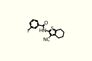 N#Cc1c(NC(=O)c2cccc(I)c2)sc2c1CCCC2